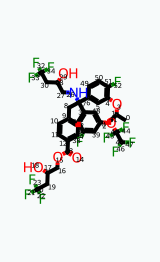 CC(C)Oc1cc(C(Cc2ccc(C(=O)OCC(O)CC(F)(F)F)cc2)(NCC(O)CC(F)(F)F)c2cc(F)cc(OC(F)(F)C(F)F)c2)ccc1F